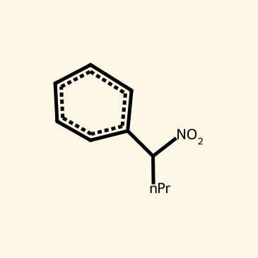 CCCC(c1ccccc1)[N+](=O)[O-]